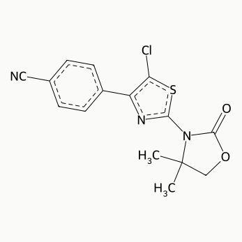 CC1(C)COC(=O)N1c1nc(-c2ccc(C#N)cc2)c(Cl)s1